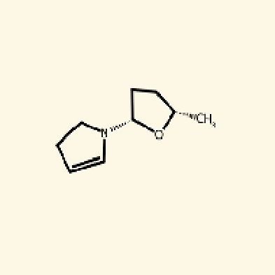 C[C@H]1CC[C@@H](N2C=CCC2)O1